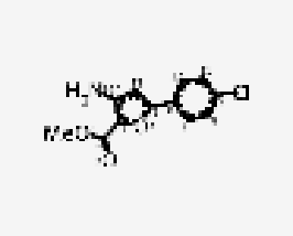 COC(=O)c1oc(-c2ccc(Cl)cc2)cc1N